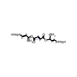 CCCCCCCC=CC(N)OC(=O)/C=C/C(=O)OC(N)C=CCCCCCCC